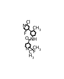 Cc1ccc(NC(=O)c2ccnc(C(C)(C)F)c2)cc1-c1cc(Cl)ncc1F